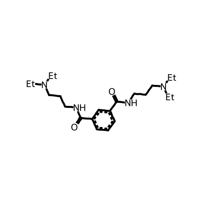 CCN(CC)CCCNC(=O)c1cccc(C(=O)NCCCN(CC)CC)c1